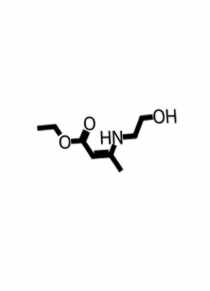 CCOC(=O)C=C(C)NCCO